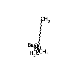 C=C(C)C(OCCCCCCCCCCCCCCCC)OC(=O)CBr